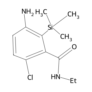 CCNC(=O)c1c(Cl)ccc(N)c1[Si](C)(C)C